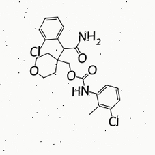 Cc1c(Cl)cccc1NC(=O)OCC1(C(C(N)=O)c2ccccc2Cl)CCOCC1